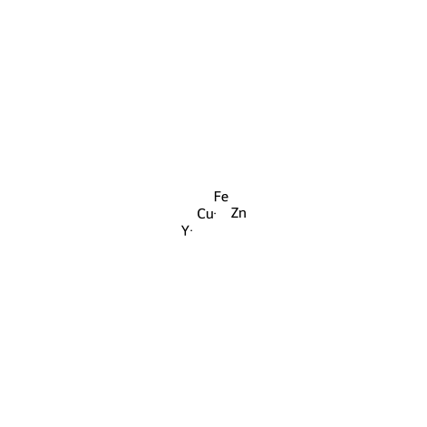 [Cu].[Fe].[Y].[Zn]